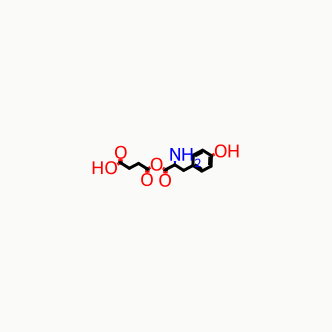 N[C@@H](Cc1ccc(O)cc1)C(=O)OC(=O)CCC(=O)O